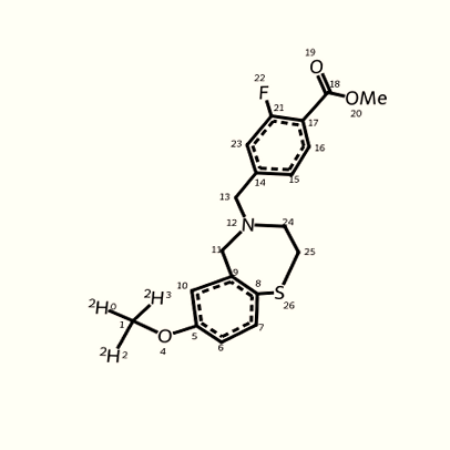 [2H]C([2H])([2H])Oc1ccc2c(c1)CN(Cc1ccc(C(=O)OC)c(F)c1)CCS2